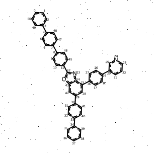 c1ccc(-c2ccc(-c3ccc(-c4nc5c(-c6ccc(-c7cccnc7)cc6)cc(-c6ccc(-c7ccccc7)cc6)cc5o4)cc3)cc2)cc1